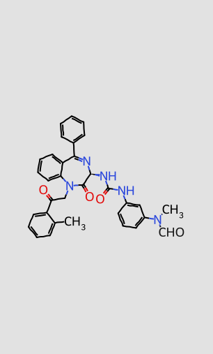 Cc1ccccc1C(=O)CN1C(=O)[C@H](NC(=O)Nc2cccc(N(C)C=O)c2)N=C(c2ccccc2)c2ccccc21